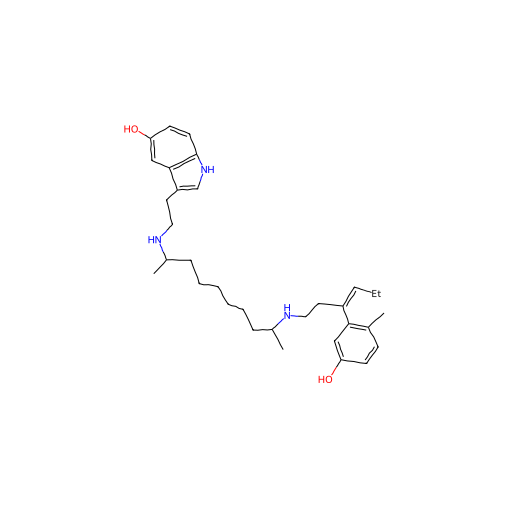 CC/C=C(/CCNC(C)CCCCCCC(C)NCCc1c[nH]c2ccc(O)cc12)c1cc(O)ccc1C